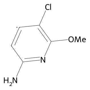 COc1nc(N)c[c]c1Cl